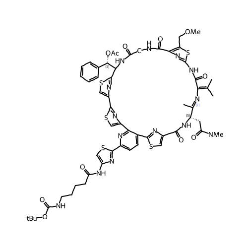 CNC(=O)C[C@@H]1NC(=O)c2csc(n2)-c2ccc(-c3nc(NC(=O)CCCCNC(=O)OC(C)(C)C)cs3)nc2-c2csc(n2)-c2csc(n2)C([C@@H](OC(C)=O)c2ccccc2)NC(=O)CNC(=O)c2nc(sc2COC)NC(=O)C(=C(C)C)/N=C/1C